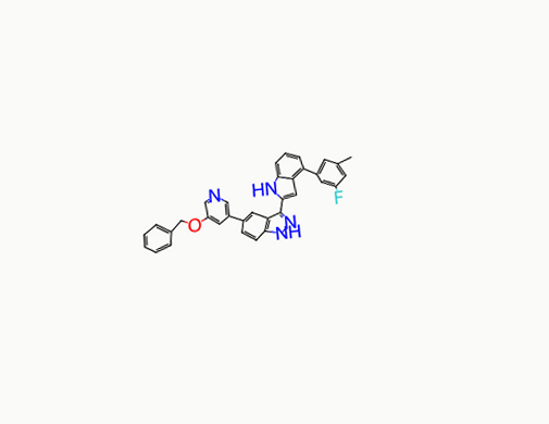 Cc1cc(F)cc(-c2cccc3[nH]c(-c4n[nH]c5ccc(-c6cncc(OCc7ccccc7)c6)cc45)cc23)c1